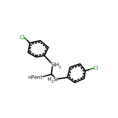 CCCCCC([SiH2]c1ccc(Cl)cc1)[SiH2]c1ccc(Cl)cc1